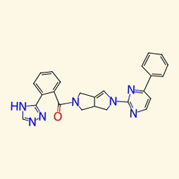 O=C(c1ccccc1-c1nnc[nH]1)N1CC2=CN(c3nccc(-c4ccccc4)n3)CC2C1